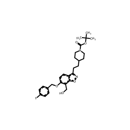 CC(C)(C)OC(=O)N1CCC(CCc2noc3c(CO)c(OCc4ccc(F)cc4)ccc23)CC1